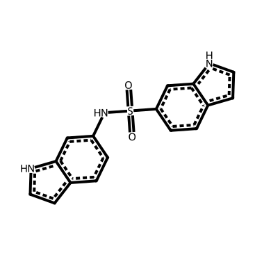 O=S(=O)(Nc1ccc2cc[nH]c2c1)c1ccc2cc[nH]c2c1